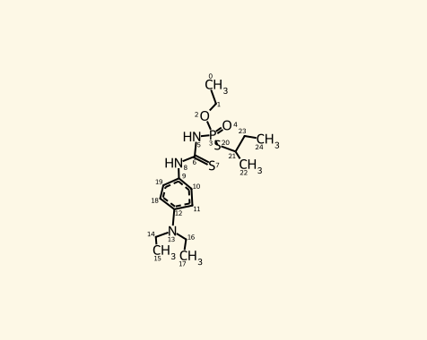 CCOP(=O)(NC(=S)Nc1ccc(N(CC)CC)cc1)SC(C)CC